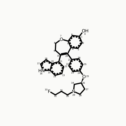 Oc1ccc2c(c1)OCCC(c1cccc3[nH]ccc13)=C2c1ccc(O[C@H]2CCN(CCCF)C2)cc1